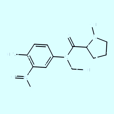 CCN(C(=O)C1CCCN1C)c1ccc(N)c([N+](=O)[O-])c1